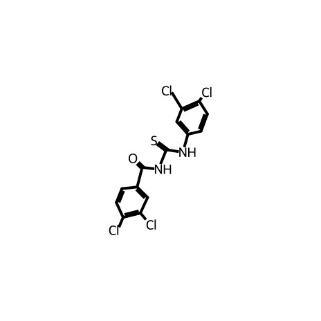 O=C(NC(=S)Nc1ccc(Cl)c(Cl)c1)c1ccc(Cl)c(Cl)c1